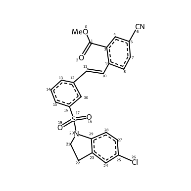 COC(=O)c1cc(C#N)ccc1C=Cc1cccc(S(=O)(=O)N2CCc3cc(Cl)ccc32)c1